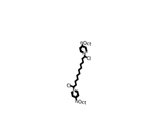 CCCCCCCCc1cc[n+](C(Cl)CCCCCCCCCCC(Cl)[n+]2ccc(CCCCCCCC)cc2)cc1